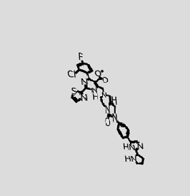 COC(=O)C1=C(CN2CCN3C(=O)N(c4ccc(-c5cnc(C6CCCN6)[nH]5)cc4)C[C@@H]3C2)NC(c2nccs2)=N[C@H]1c1ccc(F)cc1Cl